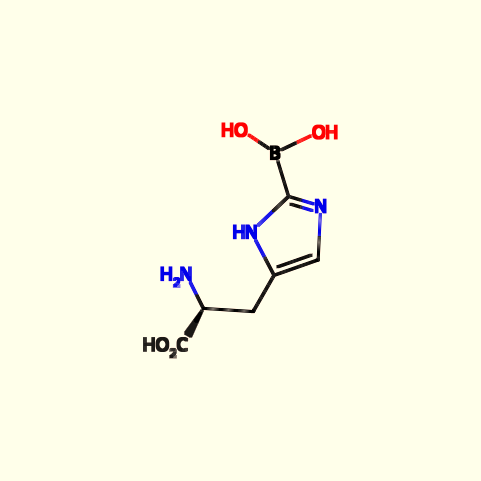 N[C@@H](Cc1cnc(B(O)O)[nH]1)C(=O)O